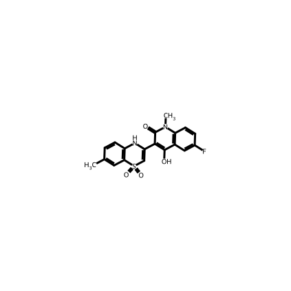 Cc1ccc2c(c1)S(=O)(=O)C=C(c1c(O)c3cc(F)ccc3n(C)c1=O)N2